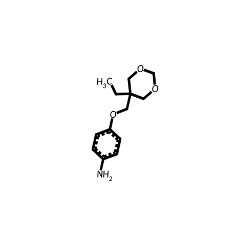 CCC1(COc2ccc(N)cc2)COCOC1